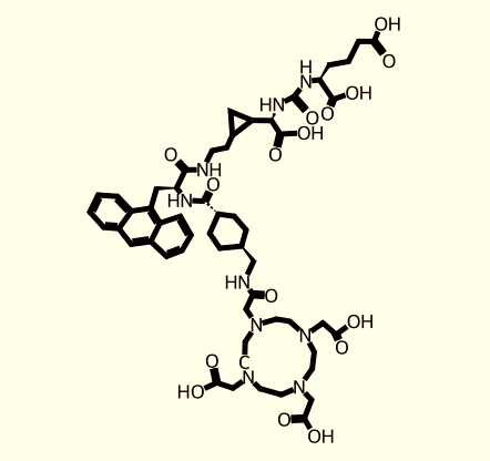 O=C(O)CCC[C@H](NC(=O)N[C@H](C(=O)O)C1CC1CCNC(=O)[C@H](Cc1c2ccccc2cc2ccccc12)NC(=O)[C@H]1CC[C@H](CNC(=O)CN2CCN(CC(=O)O)CCN(CC(=O)O)CCN(CC(=O)O)CC2)CC1)C(=O)O